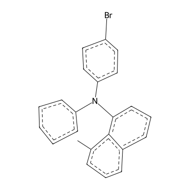 Cc1cccc2cccc(N(c3ccccc3)c3ccc(Br)cc3)c12